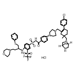 CC1(CN2C[C@H]3C[C@@H]2CN3)CCC(c2ccc(Cl)cc2)=C(CN2CCN(c3ccc(C(=O)NS(=O)(=O)c4ccc(NC(CCN5CCOCC5)CSc5ccccc5)c(S(=O)(=O)C(F)(F)F)c4)cc3)CC2)C1.Cl